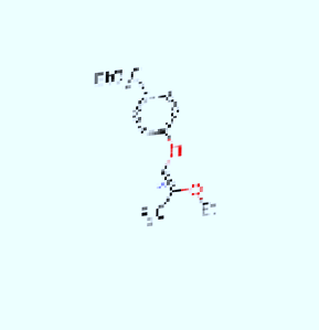 CCOC(=O)c1ccc(O/C=C(\OCC)C(F)(F)F)cc1